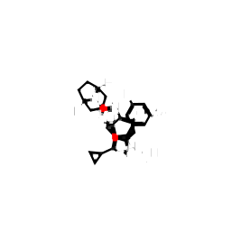 COc1cc(C(=O)O)cc2sc(N3[C@@H]4CC[C@H]3C[C@@H](OCc3c(-c5cccc(F)c5)noc3C3CC3)C4)nc12